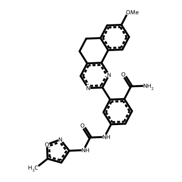 COc1ccc2c(c1)CCc1cnc(-c3cc(NC(=O)Nc4cc(C)on4)ccc3C(N)=O)nc1-2